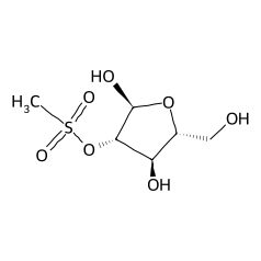 CS(=O)(=O)O[C@H]1[C@H](O)[C@@H](CO)O[C@@H]1O